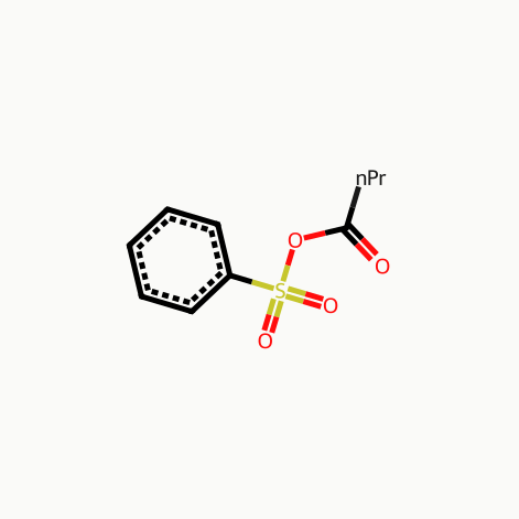 CCCC(=O)OS(=O)(=O)c1ccccc1